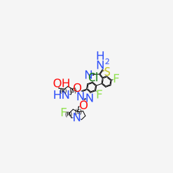 N#Cc1c(N)sc2c(F)ccc(-c3c(Cl)cc4c(O[C@@H]5CN[C@@H](CO)C5)nc(OC[C@@]56CCCN5C[C@H](F)C6)nc4c3F)c12